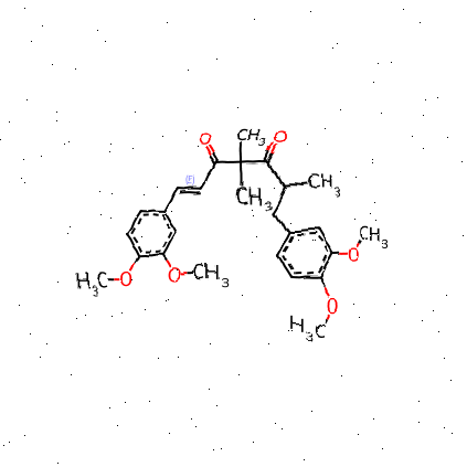 COc1ccc(/C=C/C(=O)C(C)(C)C(=O)C(C)Cc2ccc(OC)c(OC)c2)cc1OC